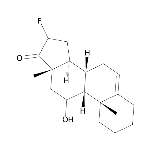 C[C@]12CCCCC1=CC[C@@H]1[C@H]2C(O)C[C@]2(C)C(=O)C(F)C[C@@H]12